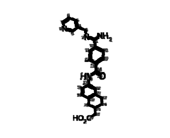 NC(=NCc1cccnc1)c1ccc(C(=O)Nc2ccc3c(c2)CCC(CC(=O)O)C3)cc1